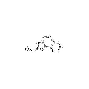 O=Cc1nn(CC(F)(F)F)cc1-c1ncccn1